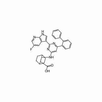 O=C(O)C1C2CCC(CC2)C1Nc1cc(-c2ccccc2-c2ccccc2)nc(-c2c[nH]c3ncc(F)cc23)n1